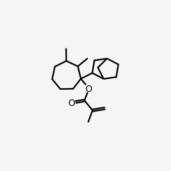 C=C(C)C(=O)OC1(C2CC3CCC2C3)CCCCC(C)C1C